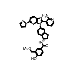 COCc1cc(C(=O)N[C@H]2CCc3cc(-n4c(-c5cccnc5N)nc5ccc(-n6cccn6)nc54)ccc32)ccc1O